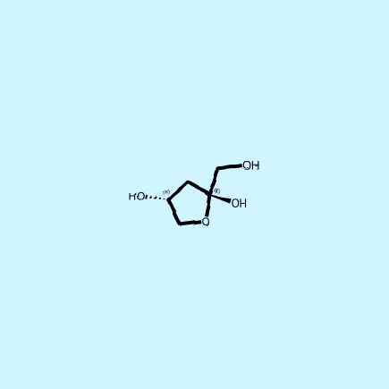 OC[C@@]1(O)C[C@@H](O)CO1